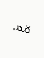 FC1(F)CC=CN(Cc2ccnc(Br)c2)C1